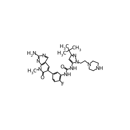 Cn1c(=O)c(-c2ccc(F)c(NC(=O)Nc3cc(C(C)(C)C)nn3CCN3CCNCC3)c2)cc2cnc(N)nc21